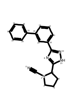 N#CN1CCCC1c1nc(-c2cccc(-c3ccccc3)c2)n[nH]1